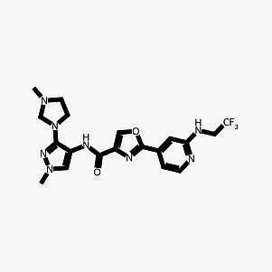 CN1CCN(c2nn(C)cc2NC(=O)c2coc(-c3ccnc(NCC(F)(F)F)c3)n2)C1